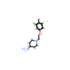 Cc1c(F)cc(OCCN2CCC(N)CC2)cc1F